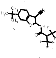 CC(C)(C)C1CCC2=C(C1)SC(NC(=O)C(C(F)(F)F)C(F)(F)F)C2C#N